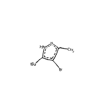 Cc1n[nH]c(C(C)(C)C)c1Br